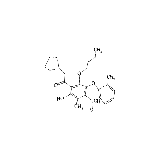 CCCCOc1c(Oc2ccccc2C)c(C(=O)O)c(C)c(O)c1C(=O)CC1CCCC1